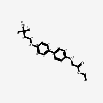 CCOC(=O)COc1ccc(-c2ccc(OCCC(C)(C)N)cc2)cc1